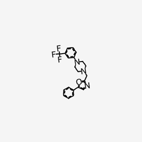 FC(F)(F)c1cccc(N2CCN(Cc3ncc(-c4ccccc4)o3)CC2)c1